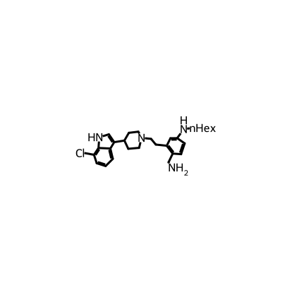 CCCCCCNc1ccc(CN)c(CCN2CCC(c3c[nH]c4c(Cl)cccc34)CC2)c1